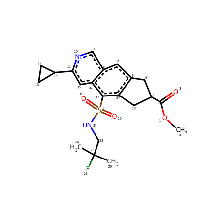 COC(=O)C1Cc2cc3cnc(C4CC4)cc3c(S(=O)(=O)NCC(C)(C)F)c2C1